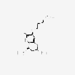 COCCCOc1cc2c(nc1Cl)C(=NO)C[C@H](C(C)(C)C)C2